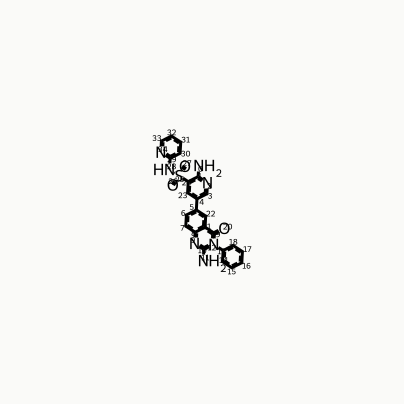 Nc1ncc(-c2ccc3nc(N)n(-c4ccccc4)c(=O)c3c2)cc1S(=O)(=O)Nc1ccccn1